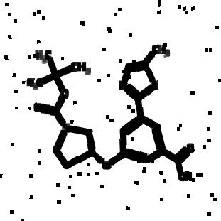 Cc1cnc(-c2cc(O[C@H]3CCN(C(=O)OC(C)(C)C)C3)cc(C(=O)O)c2)s1